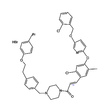 Br.Cc1cc(/C=C/C(=O)N2CCN(Cc3ccc(CCOc4ccc(C(C)C)cc4)cc3)CC2)c(Cl)cc1Oc1ccc(OCc2ccccc2Cl)cn1